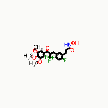 COc1cc(C(=O)C(=Cc2ccc(F)c(C=CC(=O)NO)c2)C(F)(F)F)cc(OC)c1OC